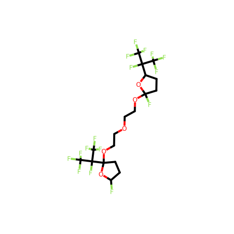 FC1CCC(OCCOCCOC2(F)CCC(C(F)(C(F)(F)F)C(F)(F)F)O2)(C(F)(C(F)(F)F)C(F)(F)F)O1